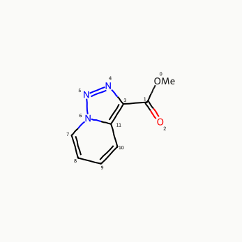 COC(=O)c1nnn2ccccc12